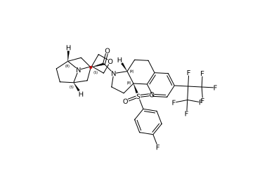 O=C([C@@H]1C[C@H]2CC[C@@H](C1)N2C1COC1)N1CC[C@@]2(S(=O)(=O)c3ccc(F)cc3)c3ccc(C(F)(C(F)(F)F)C(F)(F)F)cc3CC[C@@H]12